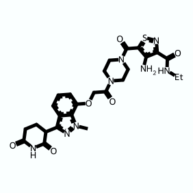 CCNC(=O)c1nsc(C(=O)N2CCN(C(=O)COc3cccc4c(C5CCC(=O)NC5=O)nn(C)c34)CC2)c1N